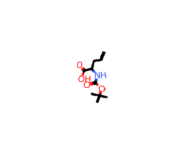 C=CCC(NC(=O)OC(C)(C)C)C(=O)O